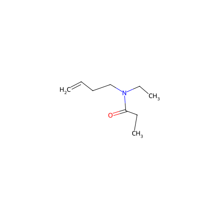 C=CCCN(CC)C(=O)CC